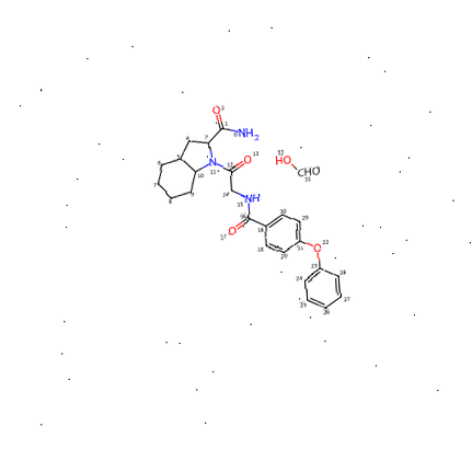 NC(=O)C1CC2CCCCC2N1C(=O)CNC(=O)c1ccc(Oc2ccccc2)cc1.O=CO